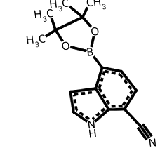 CC1(C)OB(c2ccc(C#N)c3[nH]ccc23)OC1(C)C